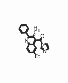 CCc1ccc2nc(-c3ccccc3)c(C)c(C(=O)n3ccnc3)c2c1